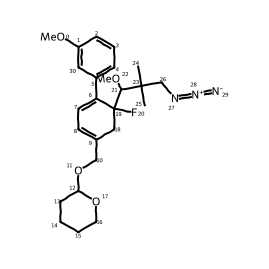 COc1cccc(C2=CC=C(COC3CCCCO3)CC2(F)C(OC)C(C)(C)CN=[N+]=[N-])c1